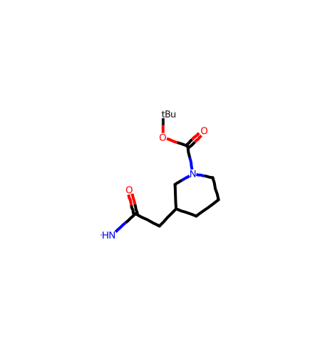 CC(C)(C)OC(=O)N1CCCC(CC([NH])=O)C1